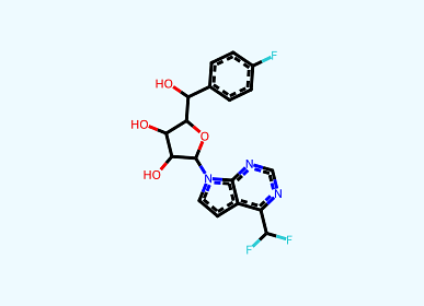 OC(c1ccc(F)cc1)C1OC(n2ccc3c(C(F)F)ncnc32)C(O)C1O